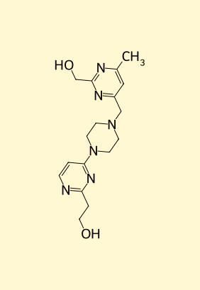 Cc1cc(CN2CCN(c3ccnc(CCO)n3)CC2)nc(CO)n1